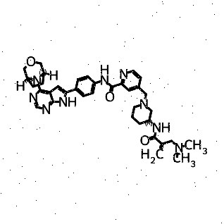 C=C(CN(C)C)C(=O)N[C@@H]1CCCN(Cc2ccnc(C(=O)Nc3ccc(-c4cc5c(N6[C@@H]7CC[C@H]6COC7)ncnc5[nH]4)cc3)c2)C1